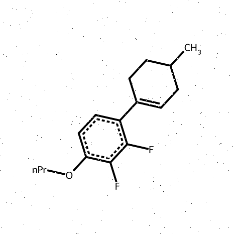 CCCOc1ccc(C2=CCC(C)CC2)c(F)c1F